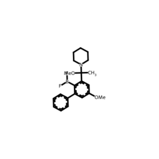 COc1cc(-c2ccccc2)c(B(F)F)c(C(C)(OC)N2CCCCC2)c1